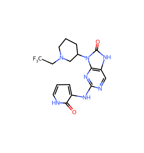 O=c1[nH]cccc1Nc1ncc2[nH]c(=O)n(C3CCCN(CC(F)(F)F)C3)c2n1